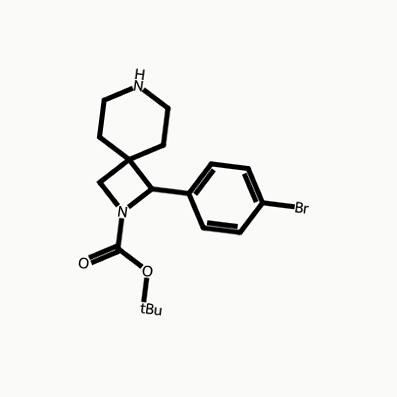 CC(C)(C)OC(=O)N1CC2(CCNCC2)C1c1ccc(Br)cc1